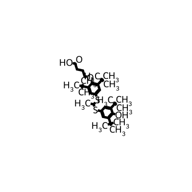 CC(Sc1cc(C(C)(C)C)c(O)c(C(C)(C)C)c1)Sc1cc(C(C)(C)C)c(OCCCC(=O)O)c(C(C)(C)C)c1